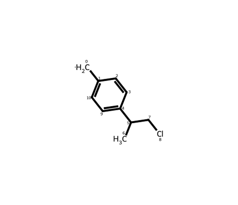 [CH2]c1ccc(C(C)CCl)cc1